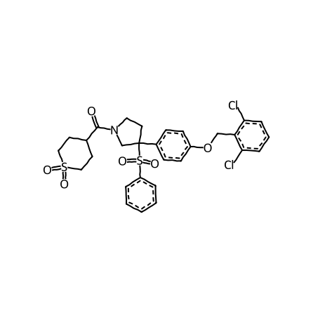 O=C(C1CCS(=O)(=O)CC1)N1CCC(c2ccc(OCc3c(Cl)cccc3Cl)cc2)(S(=O)(=O)c2ccccc2)C1